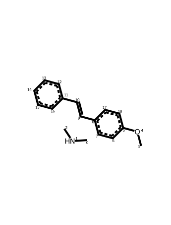 CNC.COc1ccc(C=Cc2ccccc2)cc1